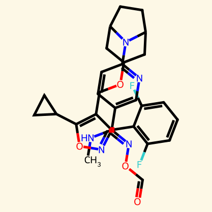 CN/C(=N\OC=O)c1ccc(N2C3CCC2CC(OCc2c(-c4c(F)cccc4F)noc2C2CC2)C3)nc1